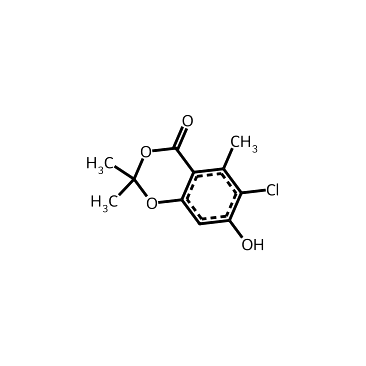 Cc1c(Cl)c(O)cc2c1C(=O)OC(C)(C)O2